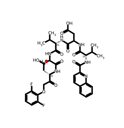 CC(NC(=O)[C@@H](NC(=O)C(CC(=O)O)NC(=O)[C@@H](NC(=O)c1ccc2ccccc2n1)C(C)C)C(C)C)C(=O)N[C@@H](CC(=O)O)C(=O)COc1c(F)cccc1F